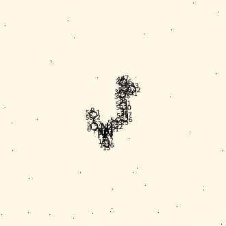 c1ccc(-c2cccc(-c3nc(-c4ccccc4)nc(-c4ccc(-c5cccc(-c6ccc(-c7ccc8c(c7)C7(CCCCC7)c7ccccc7-8)cc6)c5)cc4)n3)c2)cc1